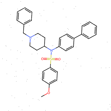 COc1ccc(S(=O)(=O)N(c2ccc(-c3ccccc3)cc2)C2CCN(Cc3ccccc3)CC2)cc1